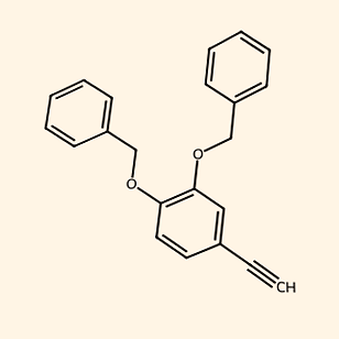 C#Cc1ccc(OCc2ccccc2)c(OCc2ccccc2)c1